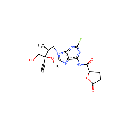 C#CC(CO)(OC)[C@@H](C)Cn1cnc2c(NC(=O)[C@H]3CCC(=O)O3)nc(F)nc21